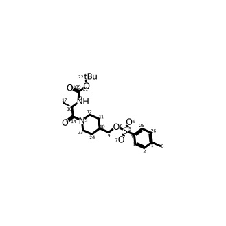 Cc1ccc(S(=O)(=O)OCC2CCN(C(=O)[C@@H](C)NC(=O)OC(C)(C)C)CC2)cc1